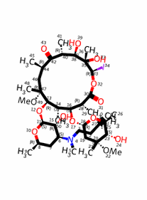 C#CCCN(C)[C@H]1C[C@@H](C)O[C@@H](O[C@@H]2[C@@H](C)[C@H](O[C@H]3C[C@@](C)(OC)[C@@H](O)[C@H](C)O3)[C@@H](C)C(=O)O[C@H](I)[C@@](C)(O)[C@H](O)[C@@H](C)C(=O)[C@H](C)C[C@@]2(C)OC)[C@@H]1O